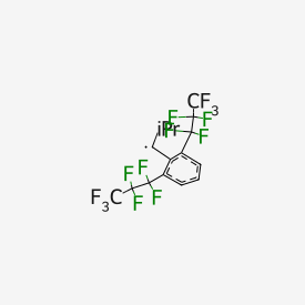 CC(C)[CH]c1c(C(F)(F)C(F)(F)C(F)(F)F)cccc1C(F)(F)C(F)(F)C(F)(F)F